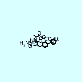 CCOC(=O)OOC(=O)C(C)NC(=O)C(Cc1ccc(-c2ccccc2)cc1)CP(=O)(O)C(C)N